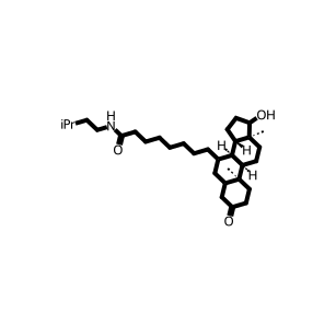 CC(C)CCNC(=O)CCCCCCCC1CC2CC(=O)CC[C@]2(C)[C@@H]2CC[C@]3(C)C(O)CC[C@H]3[C@H]12